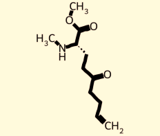 C=CCCC(=O)CC[C@H](NC)C(=O)OC